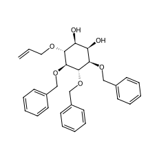 C=CCO[C@@H]1[C@@H](O)[C@@H](O)[C@@H](OCc2ccccc2)[C@H](OCc2ccccc2)[C@H]1OCc1ccccc1